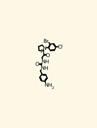 Nc1ccc(CNC(=O)NCC(=O)N2CCCN2c2ccc(Cl)cc2Br)cc1